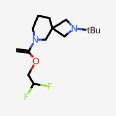 C=C(OCC(F)F)N1CCCC2(C1)CN(C(C)(C)C)C2